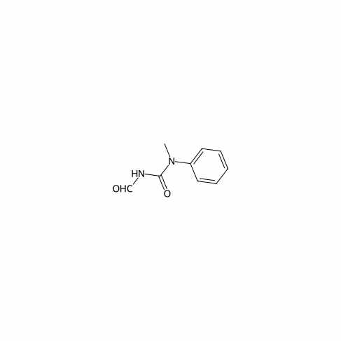 CN(C(=O)NC=O)c1ccccc1